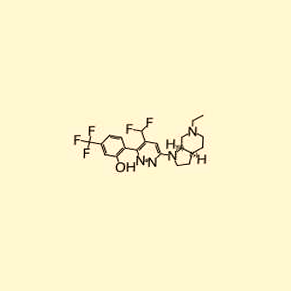 CCN1CC[C@H]2CCN(c3cc(C(F)F)c(-c4ccc(C(F)(F)F)cc4O)nn3)[C@H]2C1